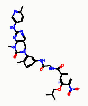 C=C(/C=C(/OCC(C)C)C(=C)[N+](=O)[O-])C(=O)NCC(=O)Nc1ccc(C)c(N2Cc3cnc(Nc4ccc(C)nc4)nc3N(C)C2=O)c1